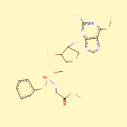 CCOc1nc(N)nc2c1ncn2[C@@H]1O[C@H](COP(=O)(N[C@@H](C)C(=O)OC(C)C)Oc2ccccc2)C(O)[C@@]1(C)N